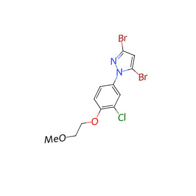 COCCOc1ccc(-n2nc(Br)cc2Br)cc1Cl